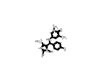 Cc1cc(NC(c2ccc(Cl)cc2)c2c(C(=O)O)nc(Br)n2C(C)C)cn(C)c1=O